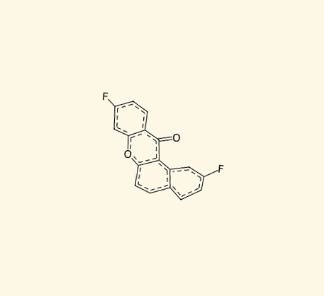 O=c1c2ccc(F)cc2oc2ccc3ccc(F)cc3c12